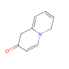 O=C1C=CN2CC=CC=C2C1